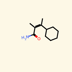 CC(C(N)=O)=C(C)C1CCCCC1